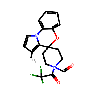 Cc1ccn2c1C1(CC[N+](C=O)(C(=O)C(F)(F)F)CC1)Oc1ccccc1-2